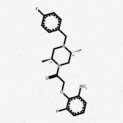 C[C@@H]1CN(C(=O)COc2c(F)cccc2[N+](=O)[O-])[C@@H](C)CN1Cc1ccc(F)cc1